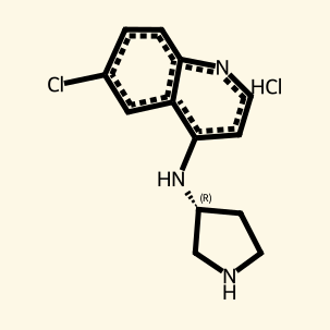 Cl.Clc1ccc2nccc(N[C@@H]3CCNC3)c2c1